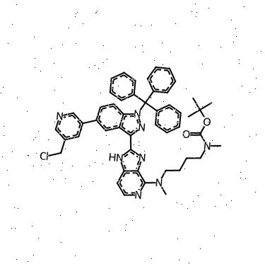 CN(CCCCN(C)c1nccc2[nH]c(-c3nn(C(c4ccccc4)(c4ccccc4)c4ccccc4)c4ccc(-c5cncc(CCl)c5)cc34)nc12)C(=O)OC(C)(C)C